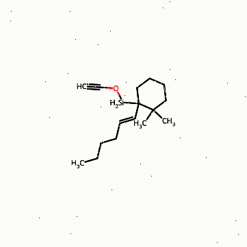 C#CO[SiH2]C1(C=CCCCC)CCCCC1(C)C